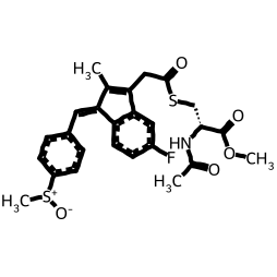 COC(=O)[C@@H](CSC(=O)CC1=C(C)/C(=C/c2ccc([S+](C)[O-])cc2)c2ccc(F)cc21)NC(C)=O